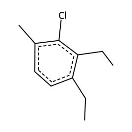 CCc1ccc(C)c(Cl)c1CC